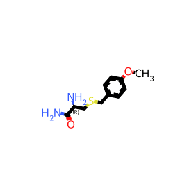 COc1ccc(CSC[C@H](N)C(N)=O)cc1